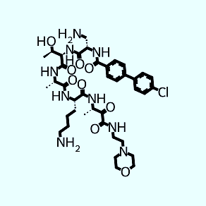 C[C@H](NC(=O)[C@@H](NC(=O)[C@H](CN)NC(=O)c1ccc(-c2ccc(Cl)cc2)cc1)[C@@H](C)O)C(=O)N[C@@H](CCCCN)C(=O)N[C@@H](C)C(=O)C(=O)NCCN1CCOCC1